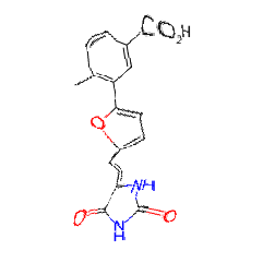 Cc1ccc(C(=O)O)cc1-c1ccc(/C=C2\NC(=O)NC2=O)o1